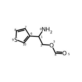 NC(COC=O)c1ccsc1